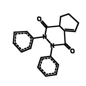 O=C1C2=CCCCC2C(=O)N(c2ccccc2)N1c1ccccc1